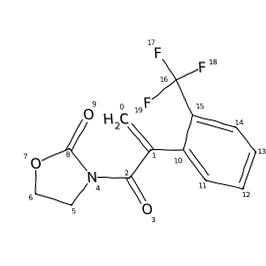 C=C(C(=O)N1CCOC1=O)c1ccccc1C(F)(F)F